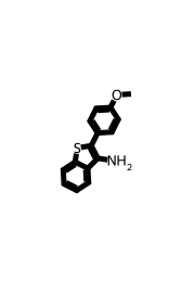 COc1ccc(-c2sc3ccccc3c2N)cc1